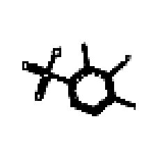 Cc1ccc(S(=O)(=O)Cl)c(C)c1F